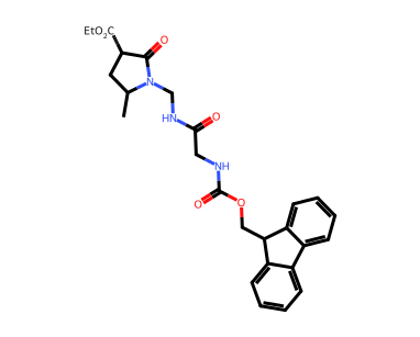 CCOC(=O)C1CC(C)N(CNC(=O)CNC(=O)OCC2c3ccccc3-c3ccccc32)C1=O